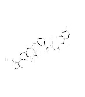 Cc1ccc(C(=O)OC(C)CNC(=O)c2cccc(CN3C(=O)c4ccc(-c5c(C)cnn5C)cc4N(C)C(=O)[C@H]3C)c2)c(C)c1